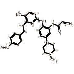 C=CC(=O)Nc1cc(N2CCN(C)CC2)ccc1Nc1ncc(C#N)c(NCc2ccc(OC)cc2)n1